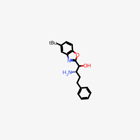 CC(C)(C)c1ccc2oc(C(O)[C@H](N)CCc3ccccc3)nc2c1